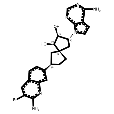 Nc1nc2cc([C@@H]3CC[C@]4(C3)C[C@@H](n3ccc5c(N)ncnc53)[C@H](O)[C@@H]4O)ccc2cc1Br